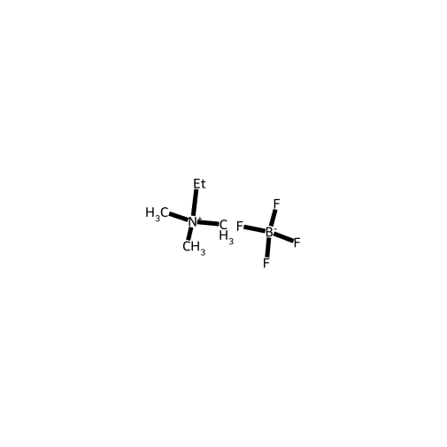 CC[N+](C)(C)C.F[B-](F)(F)F